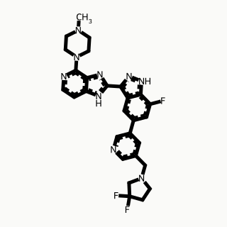 CN1CCN(c2nccc3[nH]c(-c4n[nH]c5c(F)cc(-c6cncc(CN7CCC(F)(F)C7)c6)cc45)nc23)CC1